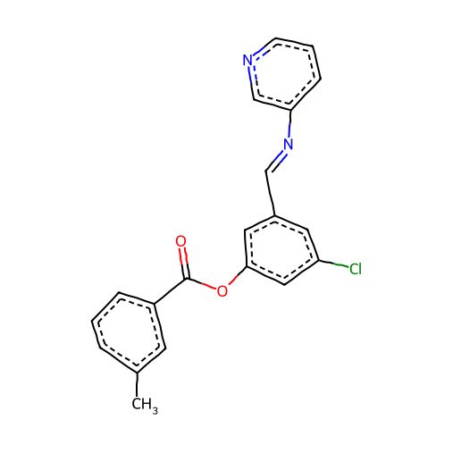 Cc1cccc(C(=O)Oc2cc(Cl)cc(C=Nc3cccnc3)c2)c1